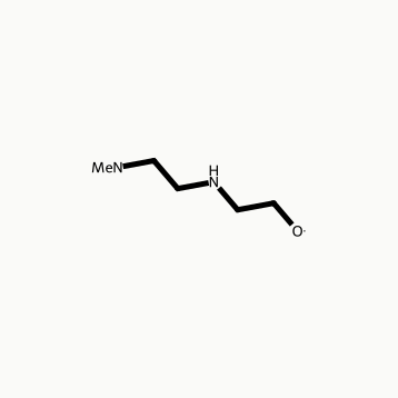 CNCCNCC[O]